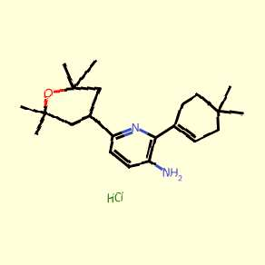 CC1(C)CC=C(c2nc(C3CC(C)(C)OC(C)(C)C3)ccc2N)CC1.Cl